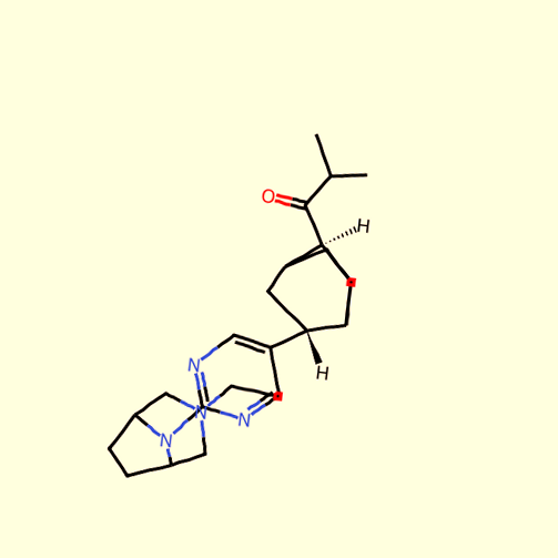 CCN1CC2CCC(C1)N2c1ncc([C@@H]2CC3CCC2C[C@@H]3C(=O)C(C)C)cn1